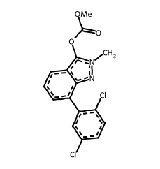 COC(=O)Oc1c2cccc(-c3cc(Cl)ccc3Cl)c2nn1C